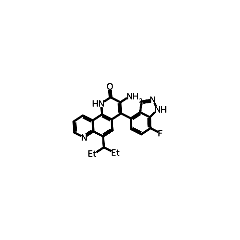 CCC(CC)c1cc2c(-c3ccc(F)c4[nH]ncc34)c(N)c(=O)[nH]c2c2cccnc12